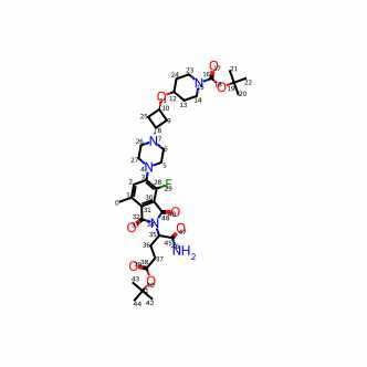 Cc1cc(N2CCN([C@H]3C[C@H](OC4CCN(C(=O)OC(C)(C)C)CC4)C3)CC2)c(F)c2c1C(=O)N(C(CCC(=O)OC(C)(C)C)C(N)=O)C2=O